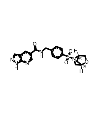 O=C(NCc1ccc(S(=O)(=O)N2C[C@H]3C[C@@H]2CO3)cc1)c1cnc2[nH]ncc2c1